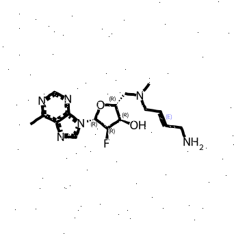 Cc1ncnc2c1ncn2[C@@H]1O[C@H](CN(C)C/C=C/CN)[C@@H](O)[C@H]1F